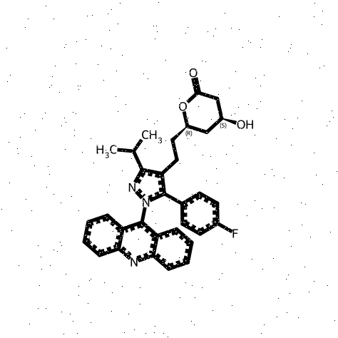 CC(C)c1nn(-c2c3ccccc3nc3ccccc23)c(-c2ccc(F)cc2)c1CC[C@@H]1C[C@H](O)CC(=O)O1